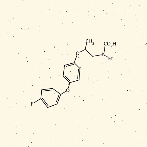 CCN(CC(C)Oc1ccc(Oc2ccc(F)cc2)cc1)C(=O)O